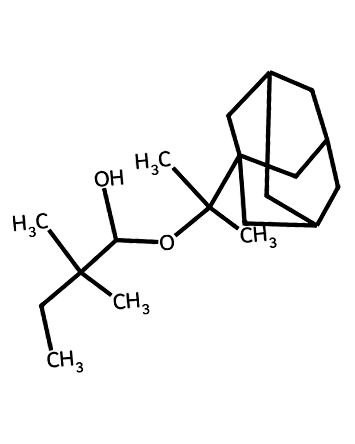 CCC(C)(C)C(O)OC(C)(C)C12CC3CC(CC(C3)C1)C2